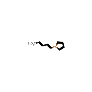 CCOC(=O)C=CC=C[SH]1C=CC=C1